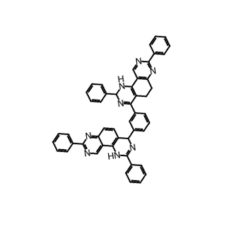 c1ccc(C2=NC(c3cccc(C4=NC(c5ccccc5)NC5=C4CCc4nc(-c6ccccc6)ncc45)c3)c3ccc4nc(-c5ccccc5)ncc4c3N2)cc1